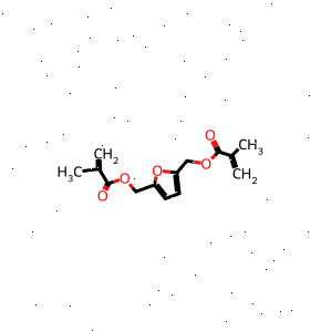 C=C(C)C(=O)OCc1ccc(COC(=O)C(=C)C)o1